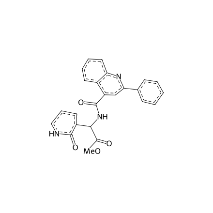 COC(=O)C(NC(=O)c1cc(-c2ccccc2)nc2ccccc12)c1ccc[nH]c1=O